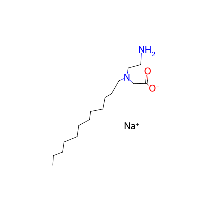 CCCCCCCCCCCCN(CCN)CC(=O)[O-].[Na+]